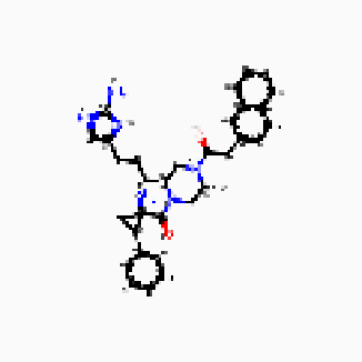 C[C@@H]1CN(C(=O)C2(N)C[C@@H]2c2ccccc2)[C@@H](CCCc2c[nH]c(N)n2)CN1C(=O)Cc1ccc2ccccc2c1